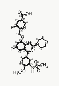 COc1ncc(-c2nc(N3CCOCC3)nc3c(OCc4ncc(C(=O)O)cc4F)cc(F)cc23)cc1NS(C)(=O)=O